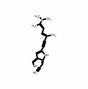 C#C/C=c1/[nH]c(C#C/C(C)=C/C=C(\C)N(C)C)c/c1=C/N